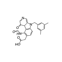 Cc1cc(C)cc(CN2C3=CN=CC(=O)C3c3c2ccc(CC(=O)O)c3NC=O)c1